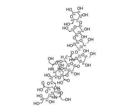 CC(=O)N[C@H]1[C@H](O[C@H]2[C@@H](O)[C@@H](CO)O[C@H](O[C@@H]3[C@H](O)[C@@H](O)[C@H](O[C@H]4[C@H](O)[C@@H](O)[C@H](O)O[C@@H]4CO)O[C@@H]3CO)[C@@H]2O)O[C@H](CO)[C@H](O)[C@@H]1O[C@@H]1O[C@H](CO)[C@H](O)[C@H](O[C@]2(C(=O)O)C[C@H](O)[C@@H](NC(=O)CO)[C@H]([C@H](O)[C@@H](CO)O[C@]3(C(=O)O)C[C@H](O)[C@@H](NC(=O)CO)[C@H]([C@H](O)[C@H](O)CO)O3)O2)[C@H]1O